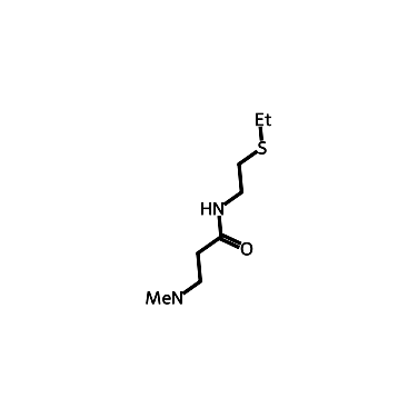 CCSCCNC(=O)CCNC